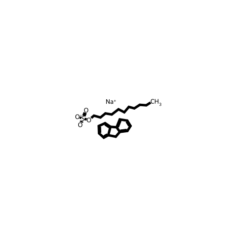 CCCCCCCCCCCOS(=O)(=O)[O-].[Na+].c1ccc2c(c1)Cc1ccccc1-2